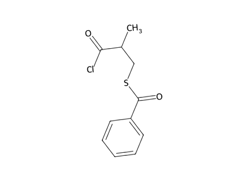 CC(CSC(=O)c1ccccc1)C(=O)Cl